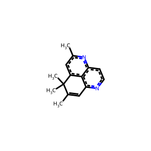 CC1=Cc2nccc3nc(C)cc(c23)C1(C)C